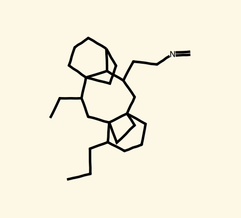 C=NCCC1CC23CCCC(CCC)C2(CC3)CC(CC)C23CCCC(CC2)C13